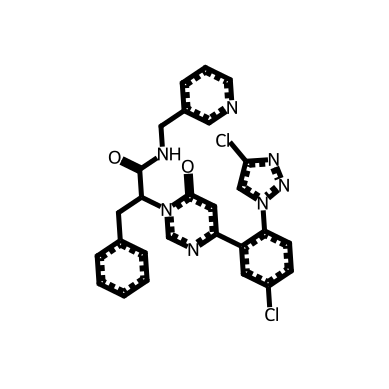 O=C(NCc1cccnc1)C(Cc1ccccc1)n1cnc(-c2cc(Cl)ccc2-n2cc(Cl)nn2)cc1=O